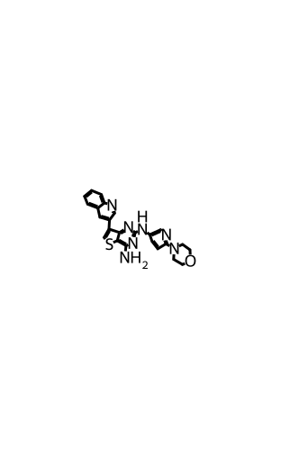 Nc1nc(Nc2ccc(N3CCOCC3)nc2)nc2c(-c3cnc4ccccc4c3)csc12